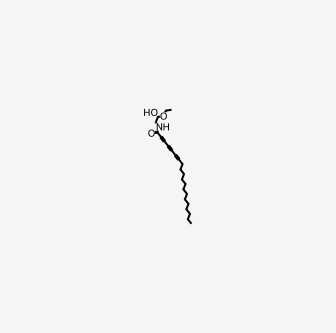 CCCCCCCCCCCCCC#CC#CC#CC(=O)NCC(O)OCC